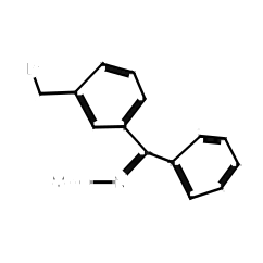 CON=C(c1ccccc1)c1cccc(CBr)c1